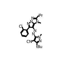 [C-]#[N+]c1c(C(C)(C)C)nn(C)c1/N=N/c1c(-c2ccccc2Cl)nn2nc(C(C)C)n(C)c12